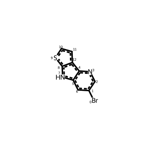 Brc1cnc2c(c1)[nH]c1sccc12